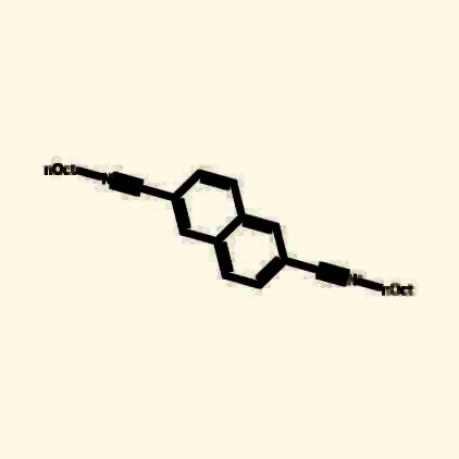 CCCCCCCC[N+]#Cc1ccc2cc(C#[N+]CCCCCCCC)ccc2c1